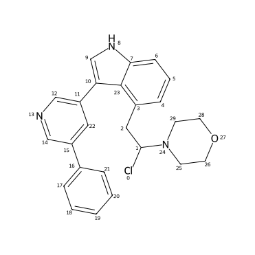 ClC(Cc1cccc2[nH]cc(-c3cncc(-c4ccccc4)c3)c12)N1CCOCC1